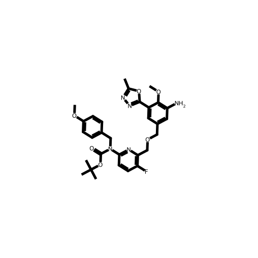 COc1ccc(CN(C(=O)OC(C)(C)C)c2ccc(F)c(COCc3cc(N)c(OC)c(-c4nnc(C)o4)c3)n2)cc1